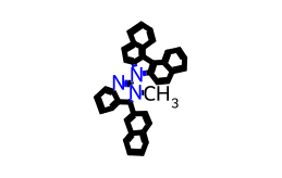 CN1C(n2c3ccc4ccccc4c3c3c4ccccc4ccc32)=Nc2ccccc2C1c1ccc2ccccc2c1